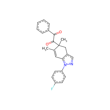 CC1=Cc2c(cnn2-c2ccc(F)cc2)CC1(C)C(=O)C(=O)c1ccccc1